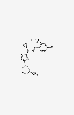 O=C(O)c1cc(F)ccc1C=NN(c1nc(-c2cccc(C(F)(F)F)c2)cs1)C1CC1